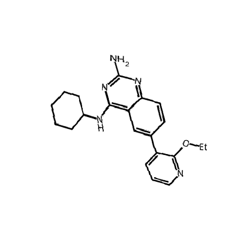 CCOc1ncccc1-c1ccc2nc(N)nc(NC3CCCCC3)c2c1